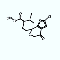 C[C@H]1C[C@@]2(CCN1C(=O)OC(C)(C)C)OCC(=O)c1cc(Cl)sc12